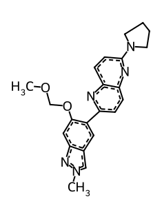 COCOc1cc2nn(C)cc2cc1-c1ccc2nc(N3CCCC3)ccc2n1